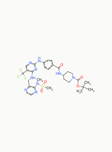 CN(c1nccnc1CNc1nc(Nc2ccc(C(=O)NC3CCN(C(=O)OC(C)(C)C)CC3)cc2)ncc1C(F)(F)F)S(C)(=O)=O